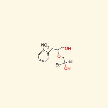 CCC(O)(CC)COC(CO)Cc1ccccc1[N+](=O)[O-]